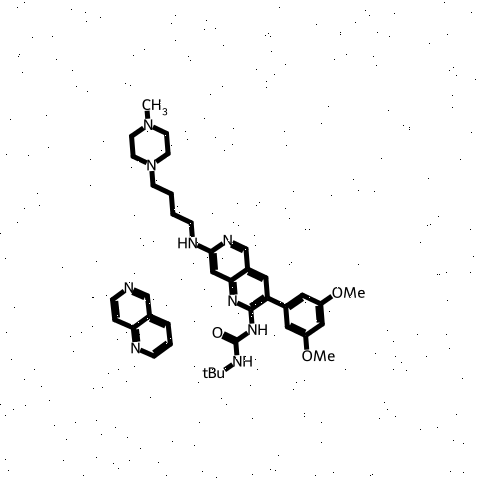 COc1cc(OC)cc(-c2cc3cnc(NCCCCN4CCN(C)CC4)cc3nc2NC(=O)NC(C)(C)C)c1.c1cnc2ccncc2c1